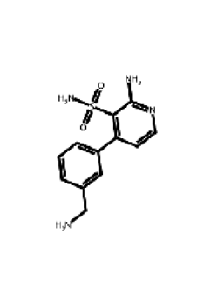 NCc1cccc(-c2ccnc(N)c2S(N)(=O)=O)c1